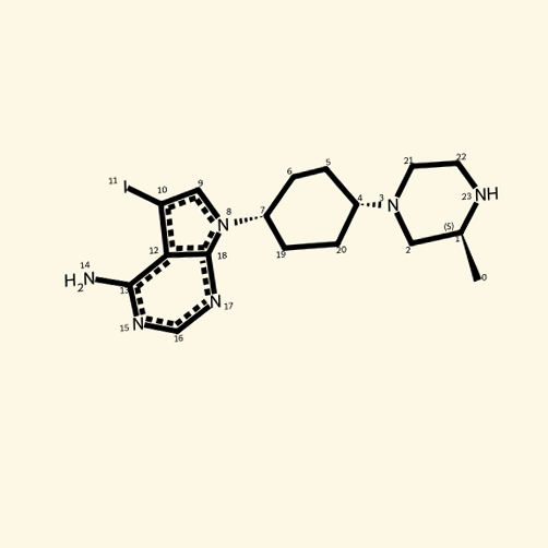 C[C@H]1CN([C@H]2CC[C@@H](n3cc(I)c4c(N)ncnc43)CC2)CCN1